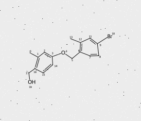 Cc1cc(OCc2ccc(Br)cc2C)ccc1CO